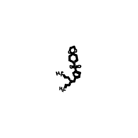 C=CCN(CC=C)Cc1ccc(S(=O)(=O)N2CCC3(CC2)OCCO3)s1